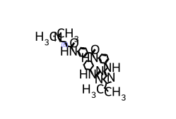 CC(C)C1C=Nc2c(Nc3cccc(NC(=O)c4ccc(NC(=O)/C=C/CN(C)C)cc4)c3)nc(NC3CCCCC3)nc21